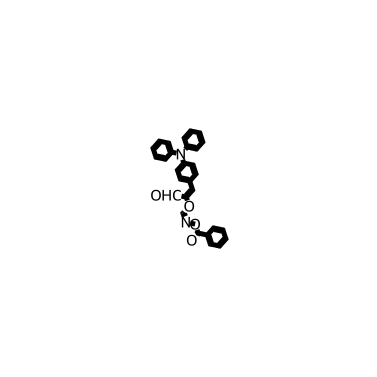 O=C/C(=C\c1ccc(N(c2ccccc2)c2ccccc2)cc1)O/C=N\OC(=O)c1ccccc1